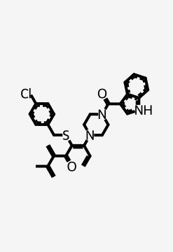 C=C/C(=C(/SCc1ccc(Cl)cc1)C(=O)C(=C)C(=C)C)N1CCN(C(=O)c2c[nH]c3ccccc23)CC1